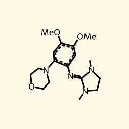 COc1cc(N=C2N(C)CCN2C)c(N2CCOCC2)cc1OC